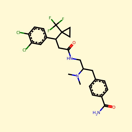 CN(C)C(CNC(=O)CC(c1ccc(Cl)c(Cl)c1)C1(C(F)(F)F)CC1)Cc1ccc(C(N)=O)cc1